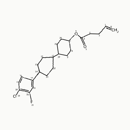 C=CCCC(=O)OC1CCC(C2CCC(c3ccc(Cl)c(F)c3)CC2)CC1